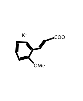 COc1ccccc1/C=C/C(=O)[O-].[K+]